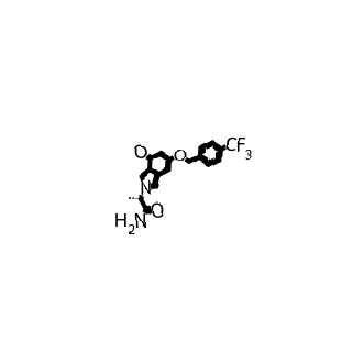 C[C@@H](C(N)=O)N1C=C2C=C(OCc3ccc(C(F)(F)F)cc3)CC(=O)C2C1